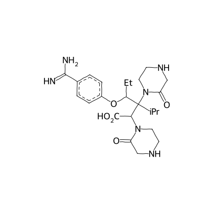 CCC(Oc1ccc(C(=N)N)cc1)C(C(C)C)(C(C(=O)O)N1CCNCC1=O)N1CCNCC1=O